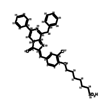 O=C1/C(=C/c2ccc(OCCCCCCS(=O)(=O)O)c(Cl)c2)N=C2C(Cc3ccccc3)=NC(c3ccccc3)=CN12